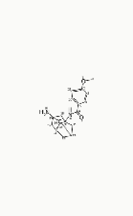 COc1ccc(C(=O)NC23CC4CC(CC(N)(C4)C2)C3)cc1